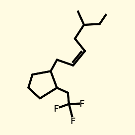 CCC(C)C/C=C\CC1CCCC1CC(F)(F)F